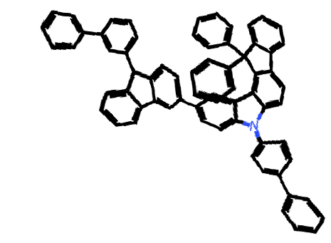 c1ccc(-c2ccc(-n3c4ccc(-c5ccc6c(c5)-c5ccccc5C6c5cccc(-c6ccccc6)c5)cc4c4c5c(ccc43)-c3ccccc3C5(c3ccccc3)c3ccccc3)cc2)cc1